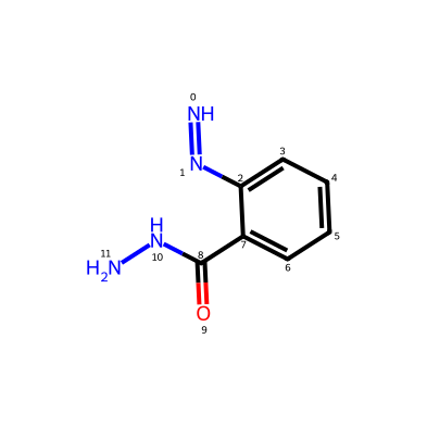 N=Nc1ccccc1C(=O)NN